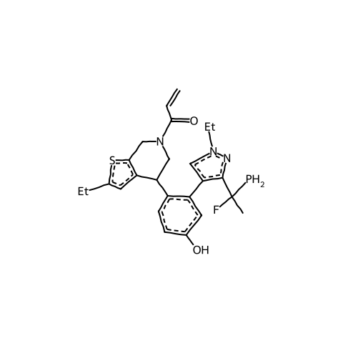 C=CC(=O)N1Cc2sc(CC)cc2C(c2ccc(O)cc2-c2cn(CC)nc2C(C)(F)P)C1